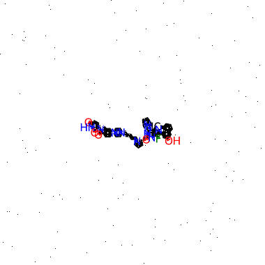 C#Cc1cccc2cc(O)cc(-c3ncc4c(N5CC6CCC(C5)N6)nc(OC[C@@H]5CCCN5CCCCCN5CCN(c6ccc7c(c6)CN([C@H]6CCC(=O)NC6=O)C7=O)CC5)nc4c3F)c12